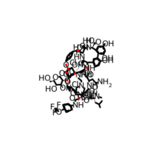 CN[C@H](CC(C)C)C(=O)N[C@H]1C(=O)NC(CC(N)=O)C(=O)NC2C(=O)N[C@H]3C(=O)N[C@H](C(=O)N[C@@H](C(=O)O)c4cc(O)cc(O)c4-c4cc3ccc4O)[C@H](O)c3ccc(c(Cl)c3)Oc3cc2cc(c3O[C@@H]2O[C@H](CO)[C@@H](O)[C@H](O)[C@H]2O[C@H]2C[C@](C)(NCCN3CCN(CC(=O)Nc4ccc(OC(F)(F)F)cc4)CC3)[C@H](O)[C@H](C)O2)Oc2ccc(cc2Cl)[C@H]1O